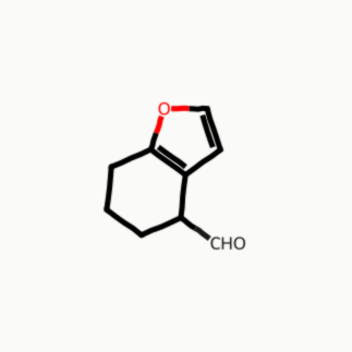 O=CC1CCCc2occc21